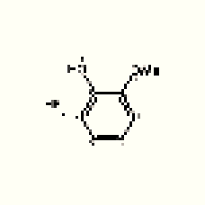 Br.COc1ccccc1O